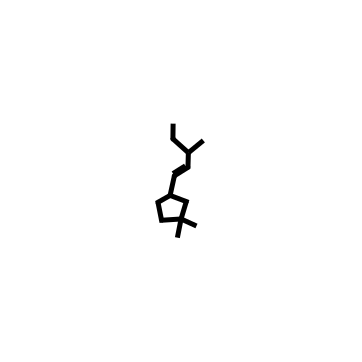 CCC(C)/C=C/C1CCC(C)(C)C1